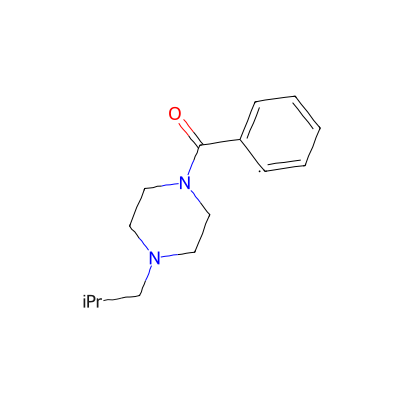 CC(C)CN1CCN(C(=O)c2[c]cccc2)CC1